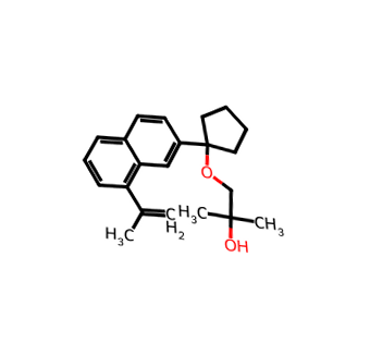 C=C(C)c1cccc2ccc(C3(OCC(C)(C)O)CCCC3)cc12